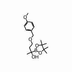 COc1ccc(COCCC(C)(O)B2OC(C)(C)C(C)(C)O2)cc1